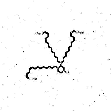 CCCCC/C=C\C/C=C\CCCCCCCCN(CCCCCCCC/C=C\C/C=C\CCCCC)C1CN(CCC)CCN1CCCCCCCC/C=C\C/C=C\CCCCC